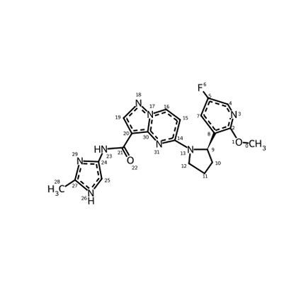 COc1ncc(F)cc1[C@H]1CCCN1c1ccn2ncc(C(=O)Nc3c[nH]c(C)n3)c2n1